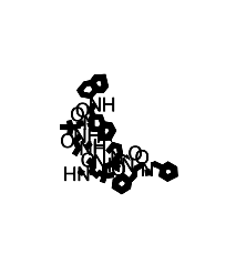 CNC(C)C(=O)NC(C(=O)N1Cc2cc([C@@H]3C[C@@H](C(=O)NC(Cc4ccccc4)C(=O)N(C)Cc4ccccc4)N(C(=O)C(NC(=O)C(C)NC)C(C)(C)C)C3)ccc2CC1C(=O)N[C@@H]1CCCc2ccccc21)C(C)(C)C